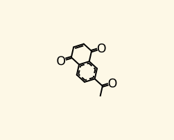 CC(=O)c1ccc2c(c1)C(=O)C=CC2=O